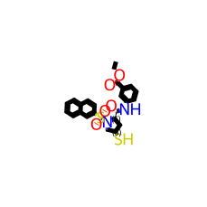 CCOC(=O)c1cccc(NC(=O)[C@@H]2C[C@H](S)CN2S(=O)(=O)c2ccc3ccccc3c2)c1